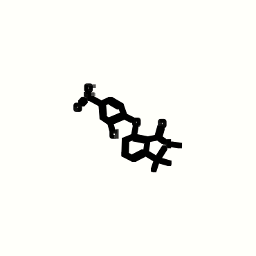 CN1C(=O)c2c(Oc3ccc([N+](=O)[O-])cc3Cl)cccc2C1(C)C